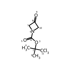 CC(C)(OC(=O)N1CC(=O)C1)C(Cl)(Cl)Cl